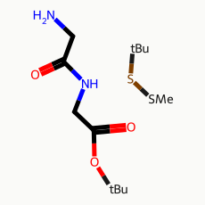 CC(C)(C)OC(=O)CNC(=O)CN.CSSC(C)(C)C